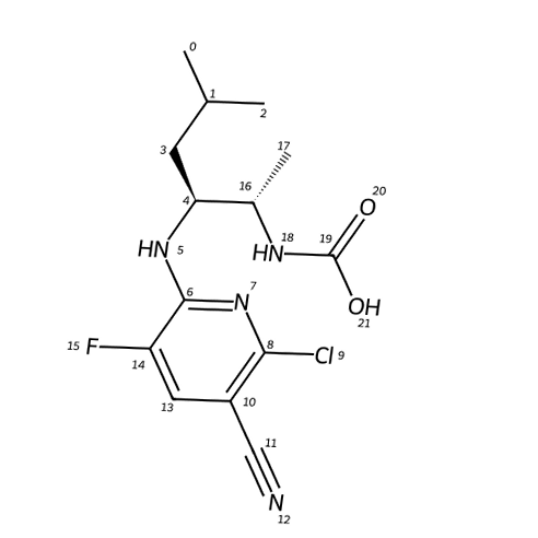 CC(C)C[C@H](Nc1nc(Cl)c(C#N)cc1F)[C@H](C)NC(=O)O